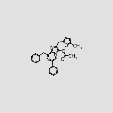 CC(=O)Oc1c(Cc2ccc(C)o2)nc2c(Cc3ccccc3)nc(-c3ccccc3)cn12